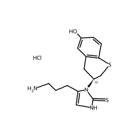 Cl.NCCCc1c[nH]c(=S)n1[C@@H]1CSc2ccc(O)cc2C1